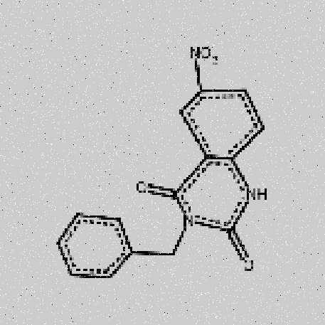 O=c1[nH]c2ccc([N+](=O)[O-])cc2c(=O)n1Cc1ccccc1